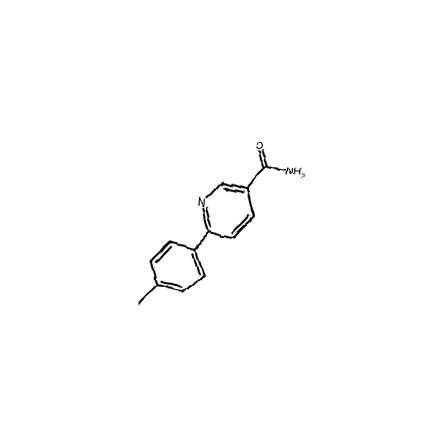 Cc1ccc(-c2ccc(C(N)=O)cn2)cc1